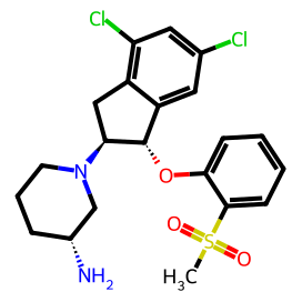 CS(=O)(=O)c1ccccc1O[C@H]1c2cc(Cl)cc(Cl)c2C[C@@H]1N1CCC[C@@H](N)C1